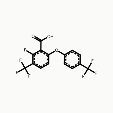 O=C(O)c1c(Oc2ccc(C(F)(F)F)cc2)ccc(C(F)(F)F)c1F